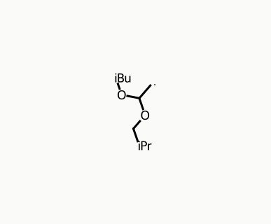 [CH2]C(OCC(C)C)OC(C)CC